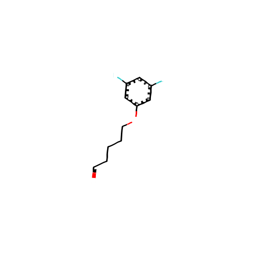 O=[C]CCCCOc1cc(F)cc(F)c1